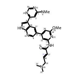 CNc1cc(-c2c[nH]c3ncc(-c4cc(NC(=O)/C=C/CN(C)C)nc(OC)c4)cc23)ncn1